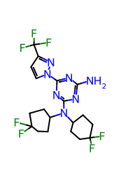 Nc1nc(N(C2CCC(F)(F)CC2)C2CCC(F)(F)CC2)nc(-n2ccc(C(F)(F)F)n2)n1